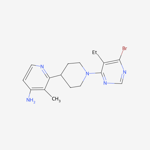 CCc1c(Br)ncnc1N1CCC(c2nccc(N)c2C)CC1